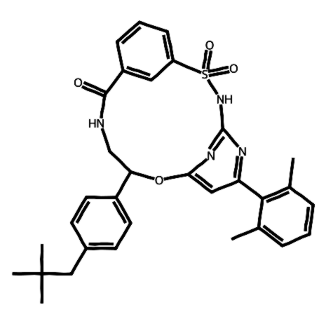 Cc1cccc(C)c1-c1cc2nc(n1)NS(=O)(=O)c1cccc(c1)C(=O)NCC(c1ccc(CC(C)(C)C)cc1)O2